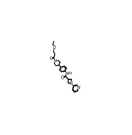 CCOCCC(=O)N1CCC(c2ccc(NC(=O)C3CN(c4cccnc4)C3)cc2)CC1